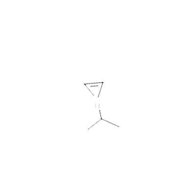 C[CH](C)[GeH]1[CH]=[CH]1